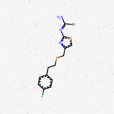 CC(C)/C(N)=N\c1nc(CSCCc2ccc(F)cc2)cs1